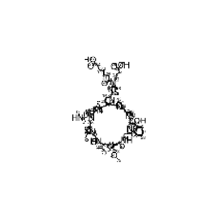 CNC(=O)C[C@@H]1NC(=O)c2csc(n2)-c2ccc(-c3nc(N(CCCC(=O)O)C(=O)CCCCCC(=O)O)cs3)nc2-c2csc(n2)-c2csc(n2)[C@H]([C@@H](O)c2ccccc2)NC(=O)CNC(=O)c2nc(sc2COC)[C@H](C(C)C)NC(=O)c2nc1sc2C